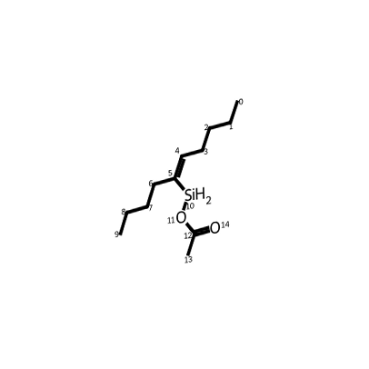 CCCCC=C(CCCC)[SiH2]OC(C)=O